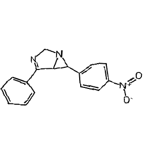 O=[N+]([O-])c1ccc(C2C3C(c4ccccc4)=NCN32)cc1